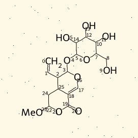 C=CC1C(OC2OC(CO)C(O)C(O)C2O)OC=C2C(=O)OC(OC)CC21